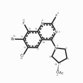 CC(=O)O[C@H]1CCN(c2nc(F)nc3c(F)c(Br)c(Cl)cc23)C1